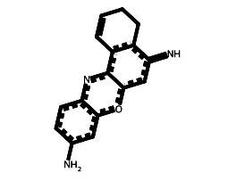 N=c1cc2oc3cc(N)ccc3nc-2c2c1CCC=C2